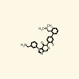 CN(C)Cc1ccccc1-c1ccc(C2N=Cc3ncn(-c4cccc(CN)c4)c3C2=O)c(F)c1